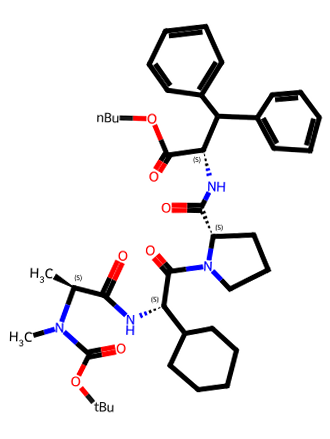 CCCCOC(=O)[C@@H](NC(=O)[C@@H]1CCCN1C(=O)[C@@H](NC(=O)[C@H](C)N(C)C(=O)OC(C)(C)C)C1CCCCC1)C(c1ccccc1)c1ccccc1